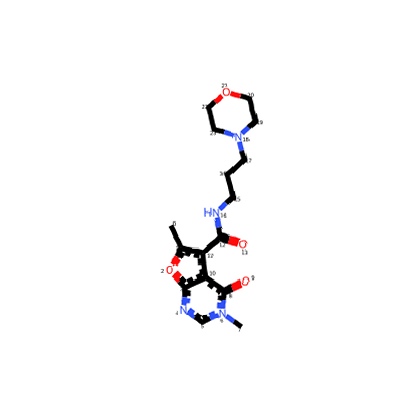 Cc1oc2ncn(C)c(=O)c2c1C(=O)NCCCN1CCOCC1